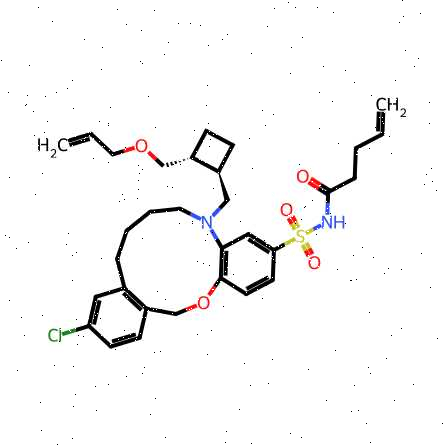 C=CCCC(=O)NS(=O)(=O)c1ccc2c(c1)N(C[C@@H]1CC[C@H]1COCC=C)CCCCc1cc(Cl)ccc1CO2